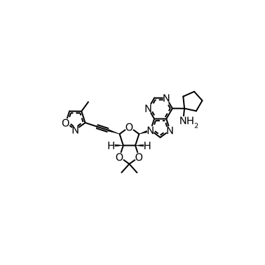 Cc1conc1C#C[C@H]1O[C@@H](n2cnc3c(C4(N)CCCC4)ncnc32)[C@@H]2OC(C)(C)O[C@@H]21